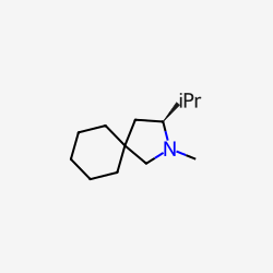 CC(C)[C@@H]1CC2(CCCCC2)CN1C